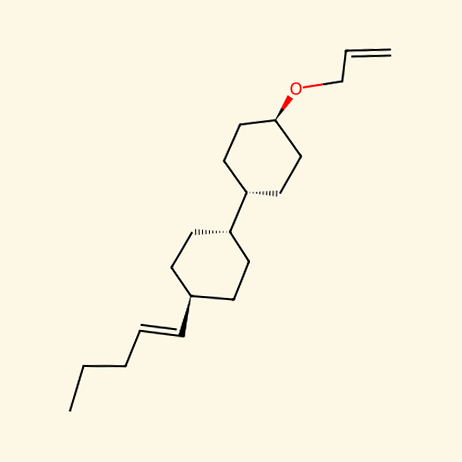 C=CCO[C@H]1CC[C@H]([C@H]2CC[C@H](/C=C/CCC)CC2)CC1